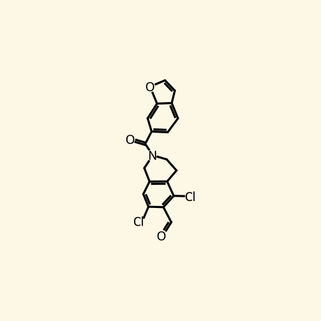 O=Cc1c(Cl)cc2c(c1Cl)CCN(C(=O)c1ccc3ccoc3c1)C2